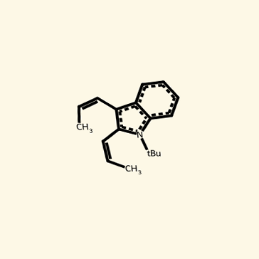 C/C=C\c1c(/C=C\C)n(C(C)(C)C)c2ccccc12